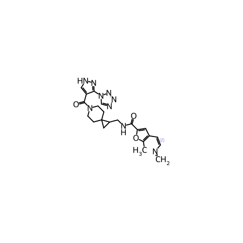 C=N/C=C\c1cc(C(=O)NCC2CC23CCN(C(=O)c2c[nH]nc2-n2cnnn2)CC3)oc1C